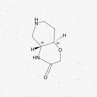 O=C1CO[C@@H]2CCNC[C@H]2N1